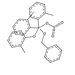 Cc1ccccc1OP(OCc1ccccc1)(O[SH](=O)=O)(c1ccccc1C)c1ccccc1C